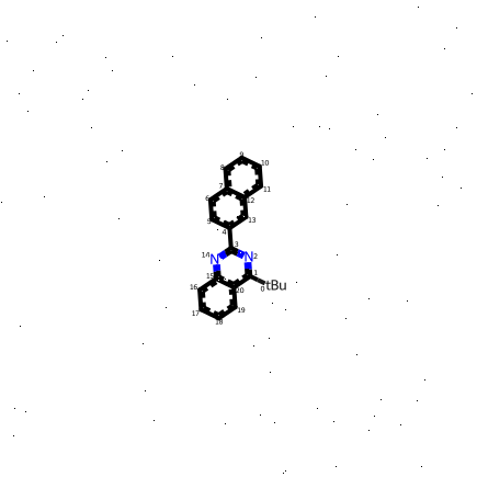 CC(C)(C)c1nc(-c2ccc3ccccc3c2)nc2ccccc12